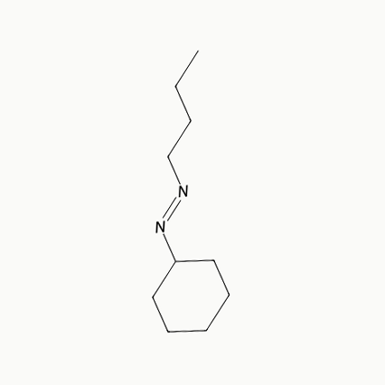 CCCCN=NC1CCCCC1